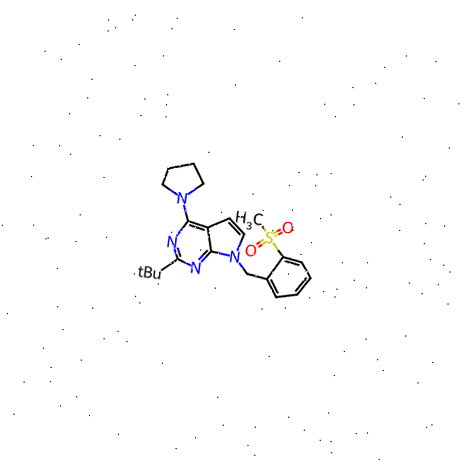 CC(C)(C)c1nc(N2CCCC2)c2ccn(Cc3ccccc3S(C)(=O)=O)c2n1